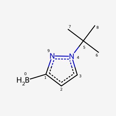 Bc1ccn(C(C)(C)C)n1